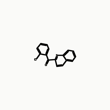 O=C(c1ccc2ccccc2n1)c1ccccc1Cl